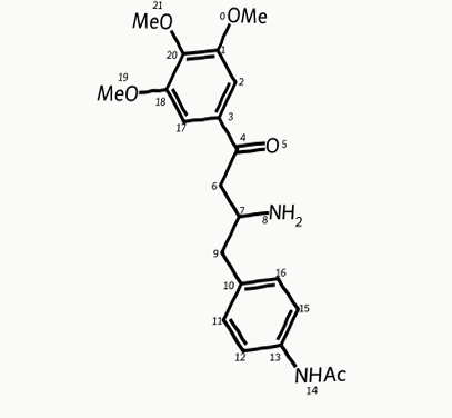 COc1cc(C(=O)CC(N)Cc2ccc(NC(C)=O)cc2)cc(OC)c1OC